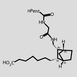 CCCCCC(=O)NCC(=O)NC[C@@H]1[C@@H]2CC[C@@H](C2)[C@@H]1CCCCCCC(=O)O